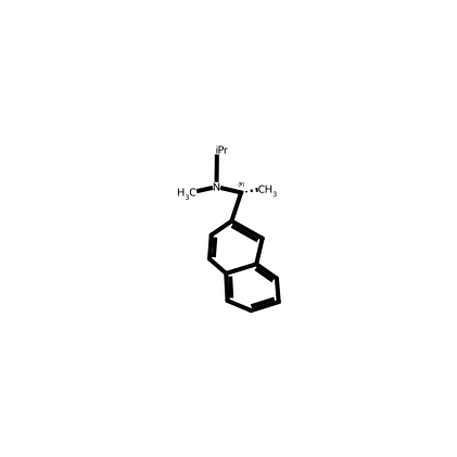 CC(C)N(C)[C@H](C)c1ccc2ccccc2c1